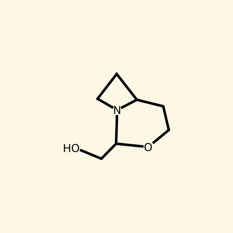 OCC1OCCC2CCN21